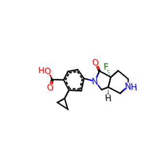 O=C(O)c1ccc(N2C[C@@H]3CNCC[C@]3(F)C2=O)cc1C1CC1